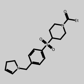 CCC(=O)N1CCC(S(=O)(=O)c2ccc(CN3C=CCC3)cc2)CC1